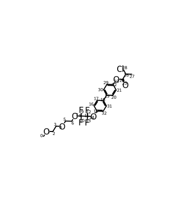 COCCOCCOC(F)(F)C(F)(F)Oc1ccc(-c2ccc(OC(=O)C(C)Cl)cc2)cc1